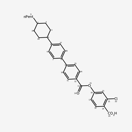 CCCCCC1CCC(c2ccc(-c3ccc(C(=O)Oc4ccc(C(=O)O)c(Cl)c4)cc3)cc2)CC1